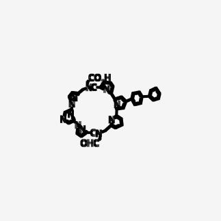 O=CCN1Cc2cccc(n2)-c2cc(-c3ccc(-c4ccccc4)cc3)cc(n2)-c2cccc(n2)CN(CC(=O)O)Cc2ccn(n2)-c2cncc(n2)-n2ccc(n2)C1